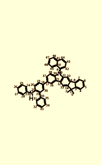 CC1(C)c2ccccc2-c2cc3c(cc21)c1cc(-c2ccc(Nc4ccccc4)c(-c4ccccc4)c2)ccc1n3-c1cccc2ccccc12